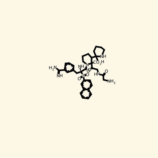 CC1(C2CCCN(C(=O)[C@@](N)(Cc3cccc(C(=N)N)c3)S(=O)(=O)c3ccc4ccccc4c3)C2(C(=O)O)C(=O)CNC(=O)CN)CCCCN1